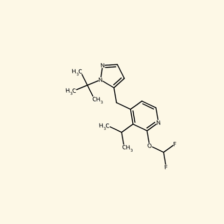 CC(C)c1c(Cc2ccnn2C(C)(C)C)ccnc1OC(F)F